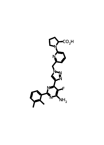 Cc1cccc(-c2nc(N)c(F)c(-c3cn(Cc4cccc(N5CCCC5C(=O)O)n4)nn3)n2)c1C